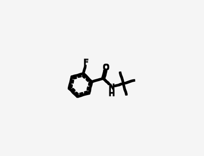 CC(C)(C)NC(=O)c1ccccc1F